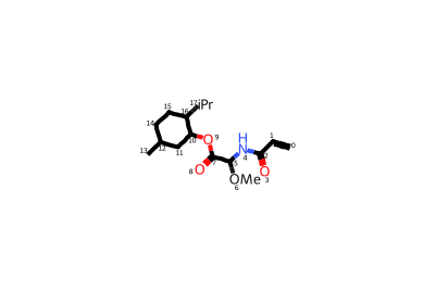 C=CC(=O)NC(OC)C(=O)OC1CC(C)CCC1C(C)C